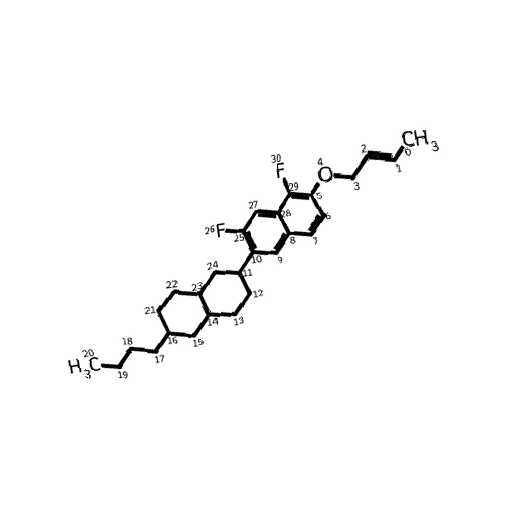 CC=CCOc1ccc2cc(C3CCC4CC(CCCC)CCC4C3)c(F)cc2c1F